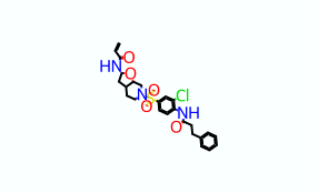 C=CC(=O)NC1CC2CCN(S(=O)(=O)c3ccc(NC(=O)CCc4ccccc4)c(Cl)c3)CC2O1